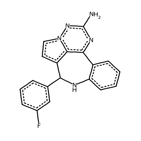 Nc1nc2c3c(ccn3n1)C(c1cccc(F)c1)Nc1ccccc1-2